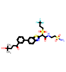 CC(C)(O)CCC(=O)c1cccc(-c2ccc3nc(C(C(=O)NCCS(N)(=O)=O)S(=O)(=O)CCC(F)(F)F)sc3c2)c1